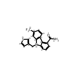 NC(=O)c1cccc2c1c1[c]cc(C(F)(F)F)cc1n2Cc1ccsc1